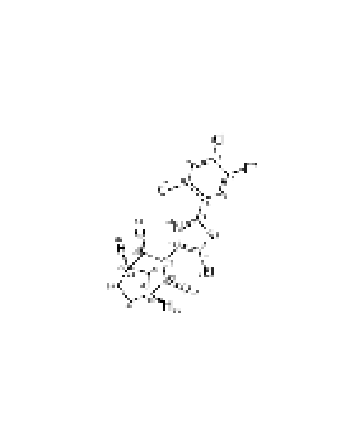 CCc1sc(-c2cc(F)c(Cl)cc2Cl)nc1C1C(=O)[C@@H]2CC[C@@H](C2)C1=O